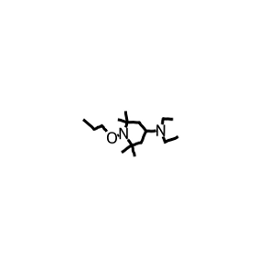 CCCON1C(C)(C)CC(N(CC)CC)CC1(C)C